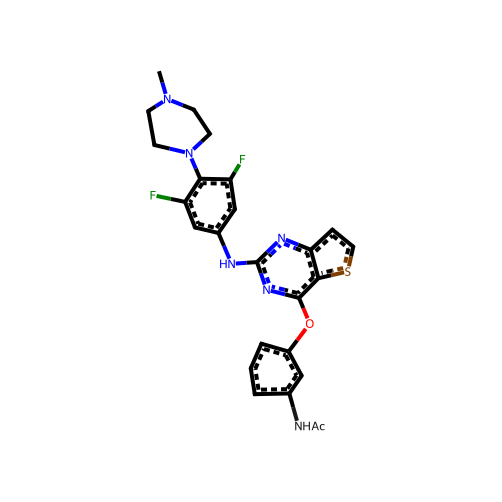 CC(=O)Nc1cccc(Oc2nc(Nc3cc(F)c(N4CCN(C)CC4)c(F)c3)nc3ccsc23)c1